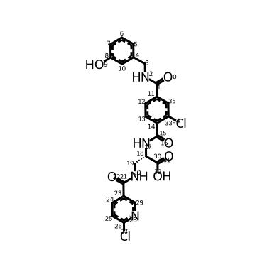 O=C(NCc1cccc(O)c1)c1ccc(C(=O)N[C@@H](CNC(=O)c2ccc(Cl)nc2)C(=O)O)c(Cl)c1